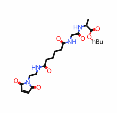 CCCCOC(=O)C(C)NC(=O)CNC(=O)CCCCC(=O)NCCN1C(=O)C=CC1=O